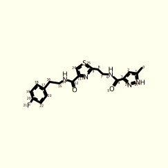 Cc1cc(C(=O)NCCc2nc(C(=O)NCCc3ccc(F)cc3)cs2)n[nH]1